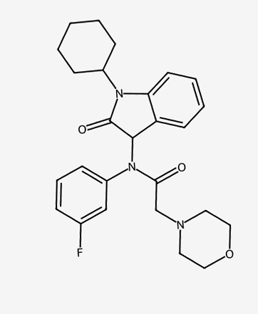 O=C1C(N(C(=O)CN2CCOCC2)c2cccc(F)c2)c2ccccc2N1C1CCCCC1